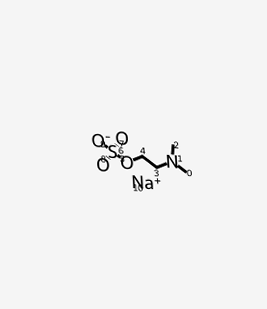 CN(C)CCOS(=O)(=O)[O-].[Na+]